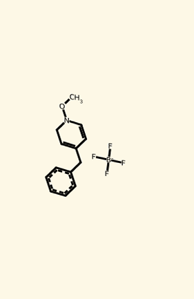 CON1C=CC(Cc2ccccc2)=CC1.F[B-](F)(F)F